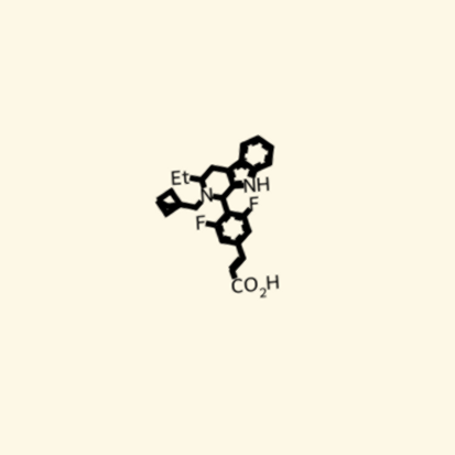 CCC1Cc2c([nH]c3ccccc23)C(c2c(F)cc(C=CC(=O)O)cc2F)N1CC12CC(C1)C2